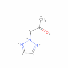 CC(=O)Cn1nccn1